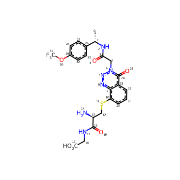 C[C@H](NC(=O)Cn1nnc2c(SC[C@H](N)C(=O)NCC(=O)O)cccc2c1=O)c1ccc(OC(F)(F)F)cc1